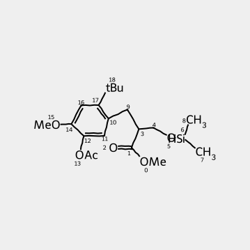 COC(=O)C(CO[SiH](C)C)Cc1cc(OC(C)=O)c(OC)cc1C(C)(C)C